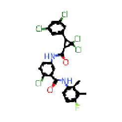 Cc1c(F)ccc(NC(=O)c2cc(NC(=O)C3C(c4cc(Cl)cc(Cl)c4)C3(Cl)Cl)ccc2Cl)c1C